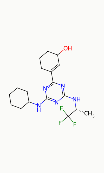 C[C@@H](Nc1nc(NC2CCCCC2)nc(C2=CC(O)CCC2)n1)C(F)(F)F